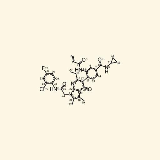 C=CC(=O)Nc1cc(C(=O)NC2CC2)ccc1-c1c(CC)nc2n(CC(=O)Nc3ccc(F)cc3Cl)c(C)c(C)n2c1=O